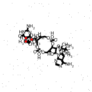 CC(C)(C)[Si](C)(C)OC1C2OP(=O)(O)OC[C@H]3O[C@@H](n4cnc5c(=O)[nH]c(N)nc54)C(OP(=O)(O)OC[C@H]2O[C@H]1n1ccc2c(N)ncnc21)C3O[Si](C)(C)C(C)(C)C